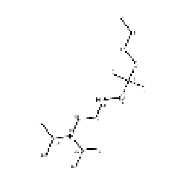 CCCSC(C)(C)OPCCP(C(C)C)C(C)C